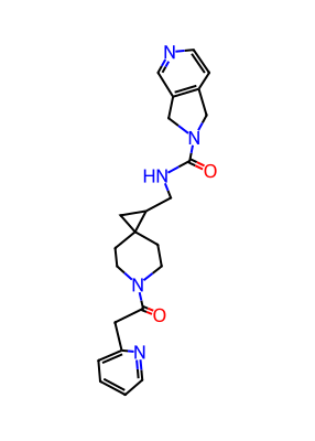 O=C(Cc1ccccn1)N1CCC2(CC1)CC2CNC(=O)N1Cc2ccncc2C1